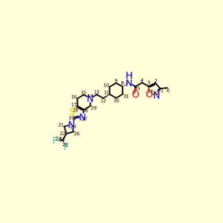 Cc1cc(CC(=O)N[C@H]2CC[C@H](CCN3CCc4sc(N5CC(C(F)F)C5)nc4C3)CC2)on1